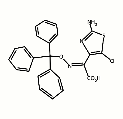 Nc1nc(C(=NOC(c2ccccc2)(c2ccccc2)c2ccccc2)C(=O)O)c(Cl)s1